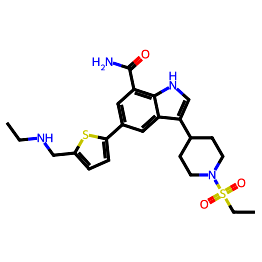 CCNCc1ccc(-c2cc(C(N)=O)c3[nH]cc(C4CCN(S(=O)(=O)CC)CC4)c3c2)s1